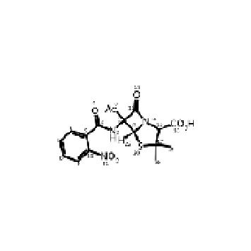 CC(=O)C1(NC(=O)c2ccccc2[N+](=O)[O-])C(=O)N2[C@@H](C(=O)O)C(C)(C)S[C@@H]21